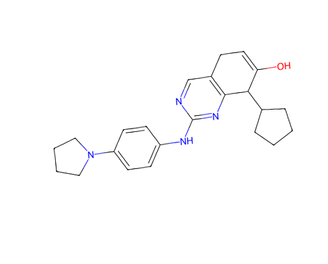 OC1=CCc2cnc(Nc3ccc(N4CCCC4)cc3)nc2C1C1CCCC1